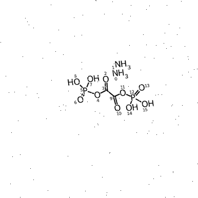 N.N.O=C(OP(=O)(O)O)C(=O)OP(=O)(O)O